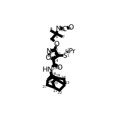 CC(C)Sc1c(OCC(C)(C)N=C=O)noc1C(=O)NC1C2CC3CC(C2)CC1C3